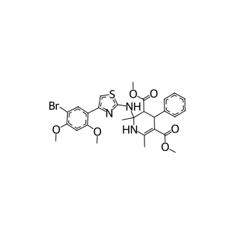 COC(=O)C1=C(C)NC(C)(Nc2nc(-c3cc(Br)c(OC)cc3OC)cs2)C(C(=O)OC)C1c1ccccc1